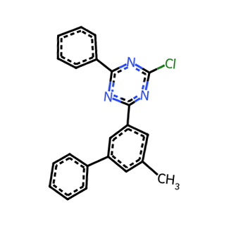 Cc1cc(-c2ccccc2)cc(-c2nc(Cl)nc(-c3ccccc3)n2)c1